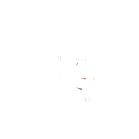 NC[C@@]12COC(O1)[C@H](N1CCOC1=O)[C@@H](O)[C@H]2O